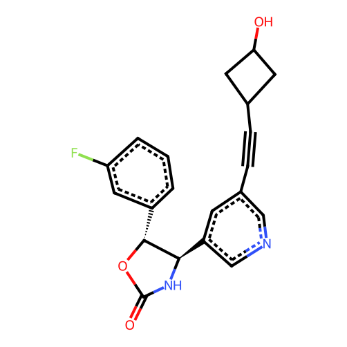 O=C1N[C@H](c2cncc(C#CC3CC(O)C3)c2)[C@@H](c2cccc(F)c2)O1